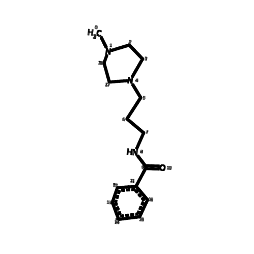 CN1CCN(CCCNC(=O)c2cc[c]cc2)CC1